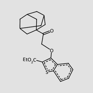 CCOC(=O)c1sc2ccccc2c1OCC(=O)C12CC3CC(CC(C3)C1)C2